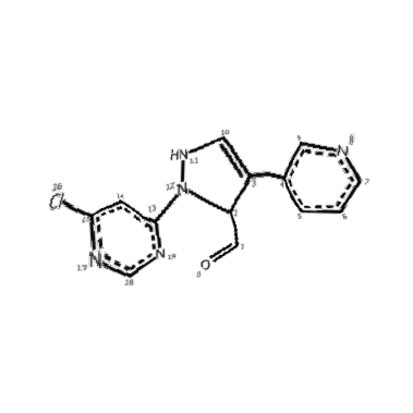 O=CC1C(c2cccnc2)=CNN1c1cc(Cl)ncn1